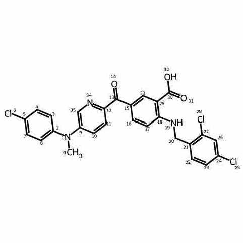 CN(c1ccc(Cl)cc1)c1ccc(C(=O)c2ccc(NCc3ccc(Cl)cc3Cl)c(C(=O)O)c2)nc1